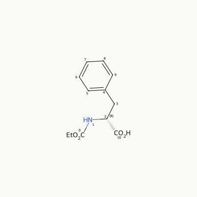 CCOC(=O)N[C@H](Cc1ccccc1)C(=O)O